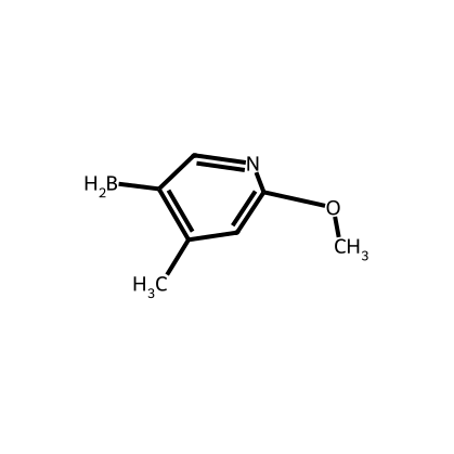 Bc1cnc(OC)cc1C